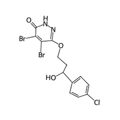 O=c1[nH]nc(OCCC(O)c2ccc(Cl)cc2)c(Br)c1Br